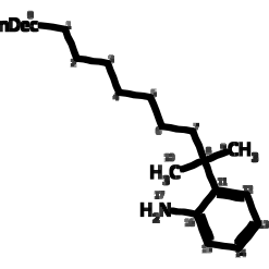 CCCCCCCCCCCCCCCCCC(C)(C)c1ccccc1N